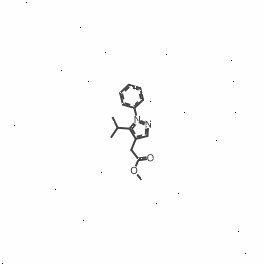 COC(=O)Cc1cnn(-c2ccccc2)c1C(C)C